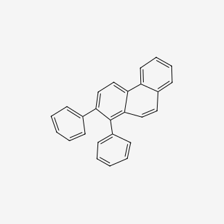 c1ccc(-c2ccc3c(ccc4ccccc43)c2-c2ccccc2)cc1